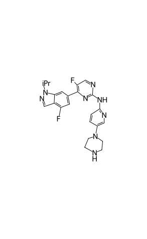 CC(C)n1ncc2c(F)cc(-c3nc(Nc4ccc(N5CCNCC5)cn4)ncc3F)cc21